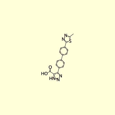 Cc1nnc(-c2ccc(-c3ccc(-c4nn[nH]c4C(=O)O)cc3)cc2)s1